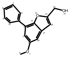 COc1cc(-c2ccccc2)c2oc(CO)cc2c1